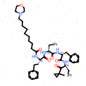 CC(C)C[C@H](NC(=O)[C@H](CCc1ccccc1)NC(=O)CCCCCCCCCN1CCOCC1)C(=O)N[C@@H](Cc1ccccc1)C(=O)N[C@@H](CC(C)C)C(=O)C1(C)CC1